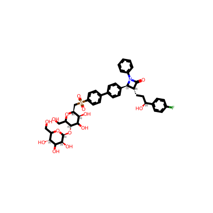 O=C1[C@H](CC[C@H](O)c2ccc(F)cc2)[C@@H](c2ccc(-c3ccc(S(=O)(=O)C[C@@H]4OC(CO)[C@@H](O[C@@H]5OC(CO)[C@@H](O)C(O)[C@@H]5O)C(O)[C@@H]4O)cc3)cc2)N1c1ccccc1